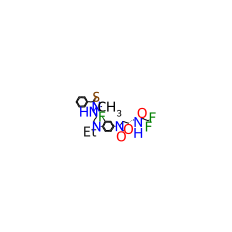 CCN(CCNN(C)C(=S)c1ccccc1)c1ccc(N2C[C@H](CNC(=O)C(F)F)OC2=O)cc1F